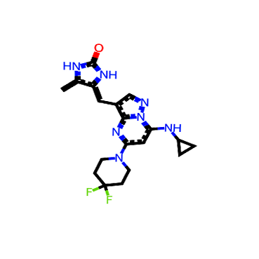 C=c1[nH]c(=O)[nH]/c1=C\c1cnn2c(NC3CC3)cc(N3CCC(F)(F)CC3)nc12